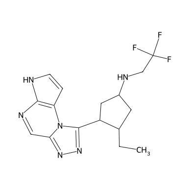 CCC1CC(NCC(F)(F)F)CC1c1nnc2cnc3[nH]ccc3n12